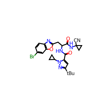 CC(C)(C)c1cc(C(=O)NC(Cc2nc3ccc(Br)cc3o2)C(=O)NC2(C#N)CC2)n(C2CC2)n1